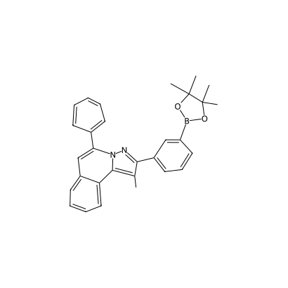 Cc1c(-c2cccc(B3OC(C)(C)C(C)(C)O3)c2)nn2c(-c3ccccc3)cc3ccccc3c12